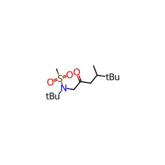 CC(CC(=O)CN(C(C)(C)C)S(C)(=O)=O)C(C)(C)C